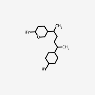 CC(C)C1CCC(C(C)CCC(C)C2CCC(C(C)C)OC2)CC1